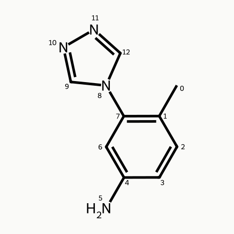 Cc1ccc(N)cc1-n1cnnc1